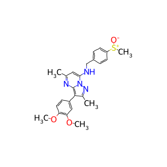 COc1ccc(-c2c(C)nn3c(NCc4ccc([S+](C)[O-])cc4)cc(C)nc23)cc1OC